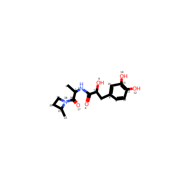 CC(NC(=O)C(O)Cc1ccc(O)c(O)c1)C(=O)N1CCC1C